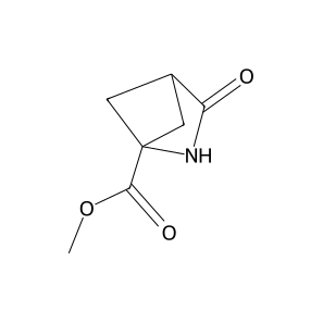 COC(=O)C12CC(C1)C(=O)N2